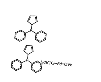 C1=CC(P(c2ccccc2)c2ccccc2)C=C1.C1=CC(P(c2ccccc2)c2ccccc2)C=C1.Cl.Cl.[Cl][Pd][Cl].[Fe]